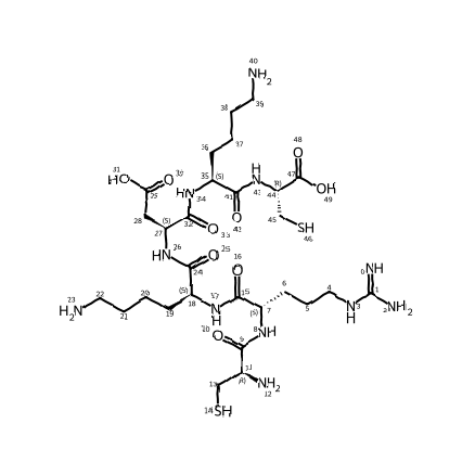 N=C(N)NCCC[C@H](NC(=O)[C@@H](N)CS)C(=O)N[C@@H](CCCCN)C(=O)N[C@@H](CC(=O)O)C(=O)N[C@@H](CCCCN)C(=O)N[C@@H](CS)C(=O)O